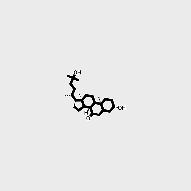 C[C@H](CCC(C)(C)O)[C@H]1CCC2[C@@H]3C(=O)CC4C[C@@H](O)CC[C@]4(C)C3CC[C@@]21C